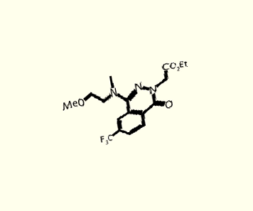 CCOC(=O)Cn1nc(N(C)CCOC)c2cc(C(F)(F)F)ccc2c1=O